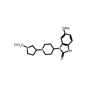 CCOC(=O)N1CCC(N2CCC(n3c(=O)[nH]c4ccc(OC)cc43)CC2)C1